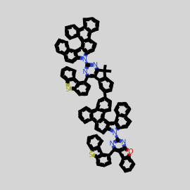 CC1(C)c2ccc(-c3ccc4c(c3)c3ccccc3c3ccc5c(c34)c3c4ccccc4ccc3n5-c3nc(-c4cccc5sc6ccccc6c45)c4c(n3)oc3ccccc34)cc2-c2c(-c3cccc4sc5ccccc5c34)nc(-n3c4ccc5ccccc5c4c4c5c6ccccc6c6ccccc6c5ccc43)nc21